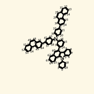 c1ccc(-n2c3ccccc3c3c(-c4cccc(N(c5ccc(-c6ccc7c(ccc8ccccc87)c6)cc5)c5ccc(-c6ccc7c(ccc8ccccc87)c6)cc5)c4)cc4ccccc4c32)cc1